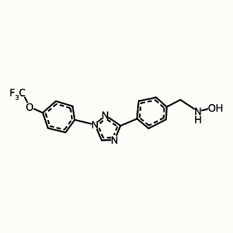 ONCc1ccc(-c2ncn(-c3ccc(OC(F)(F)F)cc3)n2)cc1